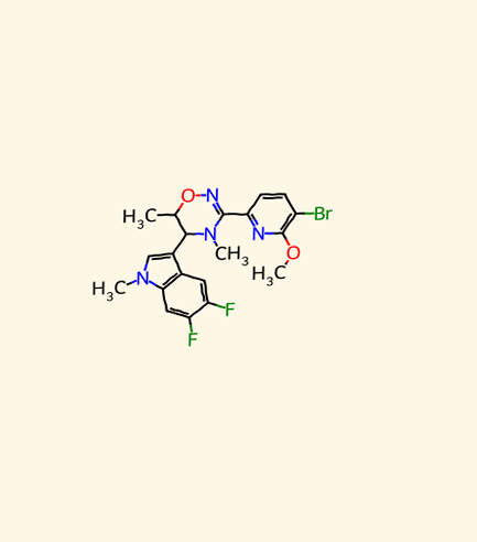 COc1nc(C2=NOC(C)C(c3cn(C)c4cc(F)c(F)cc34)N2C)ccc1Br